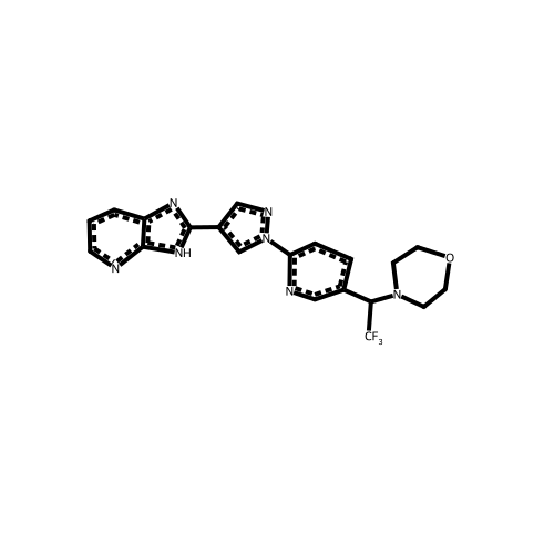 FC(F)(F)C(c1ccc(-n2cc(-c3nc4cccnc4[nH]3)cn2)nc1)N1CCOCC1